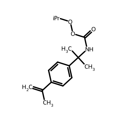 C=C(C)c1ccc(C(C)(C)NC(=O)OOC(C)C)cc1